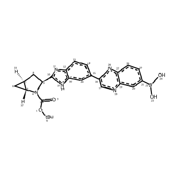 CC(C)(C)OC(=O)N1[C@@H]2C[C@H]2C[C@H]1c1nc2ccc(-c3cnc4cc(B(O)O)ccc4n3)cc2[nH]1